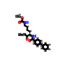 CNC(=O)[C@H](CCCCNC(=O)OC(C)(C)C)NC(=O)c1ccc(-c2ccccc2)cc1